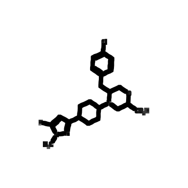 Cn1nc(C2CCC(N3CC(C(=O)O)OCC3Cc3ccc(Cl)cc3)CC2)cc1F